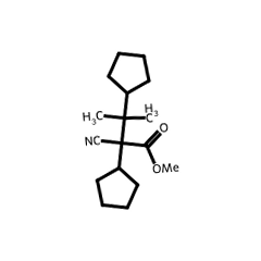 COC(=O)C(C#N)(C1CCCC1)C(C)(C)C1CCCC1